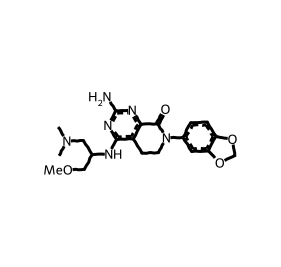 COCC(CN(C)C)Nc1nc(N)nc2c1CCN(c1ccc3c(c1)OCO3)C2=O